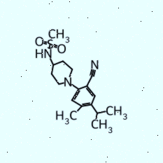 Cc1cc(N2CCC(NS(C)(=O)=O)CC2)c(C#N)cc1C(C)C